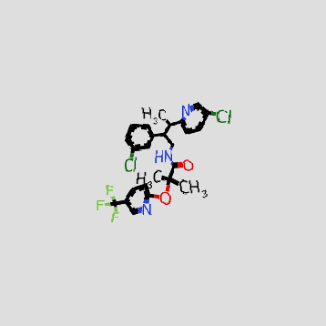 CC(c1ccc(Cl)cn1)C(CNC(=O)C(C)(C)Oc1ccc(C(F)(F)F)cn1)c1cccc(Cl)c1